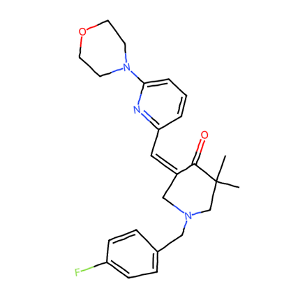 CC1(C)CN(Cc2ccc(F)cc2)CC(=Cc2cccc(N3CCOCC3)n2)C1=O